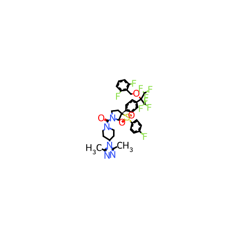 Cc1nnc(C)n1C1CCN(C(=O)N2CC[C@](c3ccc(C(OCc4c(F)cccc4F)(C(F)(F)F)C(F)(F)F)cc3)(S(=O)(=O)c3ccc(F)cc3)C2)CC1